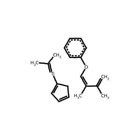 C=C(C)C(C)=COc1ccccc1.C[C](C)=[Ti][C]1=CC=CC1